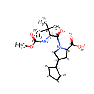 COC(=O)N[C@H](C(=O)N1CC(C2CCCC2)CC1C(=O)O)C(C)(C)C